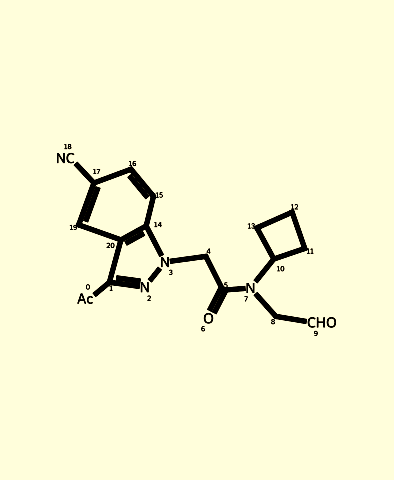 CC(=O)c1nn(CC(=O)N(CC=O)C2CCC2)c2ccc(C#N)cc12